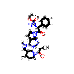 C[C@@H]1CCN(C(=O)CC#N)CC1/C=[N+](/C)c1ncnc2c1ccn2C(=O)[C@@H](NC(=O)OC(C)(C)C)c1ccccc1